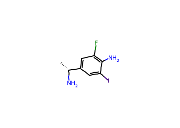 C[C@@H](N)c1cc(F)c(N)c(I)c1